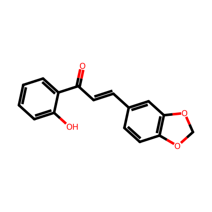 O=C(/C=C/c1ccc2c(c1)OCO2)c1ccccc1O